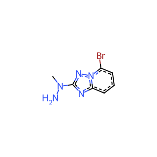 CN(N)c1nc2cccc(Br)n2n1